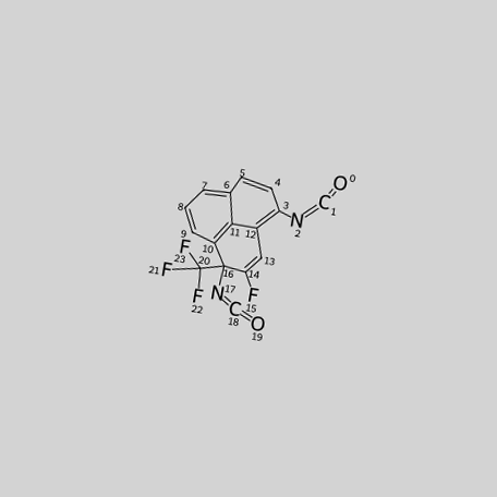 O=C=Nc1ccc2cccc3c2c1C=C(F)C3(N=C=O)C(F)(F)F